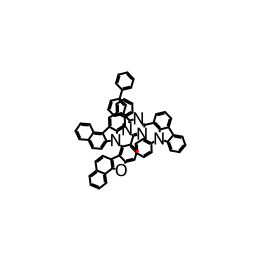 c1ccc(-c2cccc(-c3nc(-c4ccc5oc6c7ccccc7ccc6c5c4-n4c5cc6ccccc6cc5c5c6ccccc6ccc54)nc(-c4cccc5c6ccccc6n(-c6ccccc6)c45)n3)c2)cc1